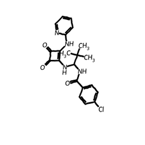 CC(C)(C)C(NC(=O)c1ccc(Cl)cc1)Nc1c(Nc2ccccn2)c(=O)c1=O